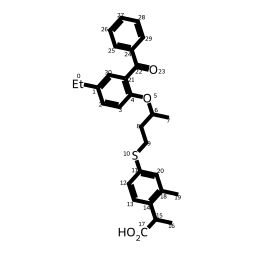 CCc1ccc(OC(C)CCSc2ccc(C(C)C(=O)O)c(C)c2)c(C(=O)c2ccccc2)c1